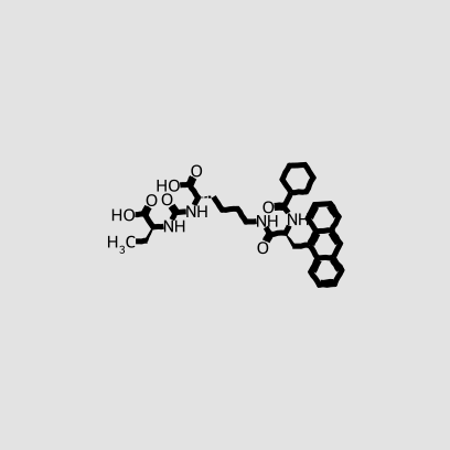 CC[C@H](NC(=O)N[C@@H](CCCCNC(=O)[C@H](Cc1c2ccccc2cc2ccccc12)NC(=O)C1CCCCC1)C(=O)O)C(=O)O